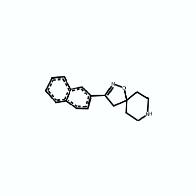 c1ccc2cc(C3=NOC4(CCNCC4)C3)ccc2c1